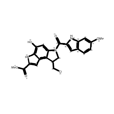 COC(=O)c1cc2c3c(cc(O)c2[nH]1)N(C(=O)c1cc2ccc(OC)cc2[nH]1)CC3CCl